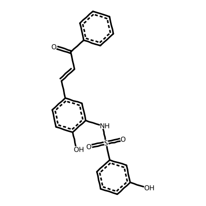 O=C(C=Cc1ccc(O)c(NS(=O)(=O)c2cccc(O)c2)c1)c1ccccc1